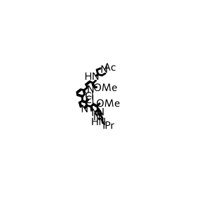 COc1nc(-c2cccc(-c3ccnc(-c4cc(OC)c5nc(CNC(C)C)nn5c4)c3Cl)c2Cl)ccc1CNC1CCN(C(C)=O)CC1